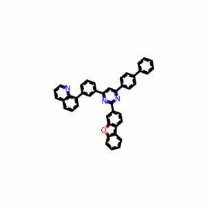 c1ccc(-c2ccc(-c3cc(-c4cccc(-c5cccc6cccnc56)c4)nc(-c4ccc5c(c4)oc4ccccc45)n3)cc2)cc1